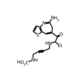 CCC(NCC#CCNC(=O)O)C(=O)C1=Cc2sccc2N=C(N)C1